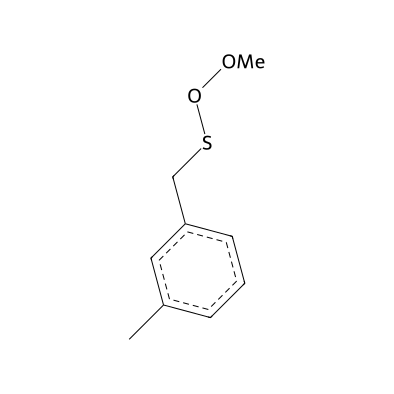 COOSCc1cccc(C)c1